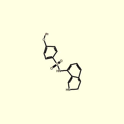 CC(C)Oc1ccc(S(=O)(=O)Nc2cccc3c2=CNCC=3)cc1